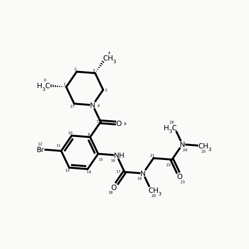 C[C@@H]1C[C@H](C)CN(C(=O)c2cc(Br)ccc2NC(=O)N(C)CC(=O)N(C)C)C1